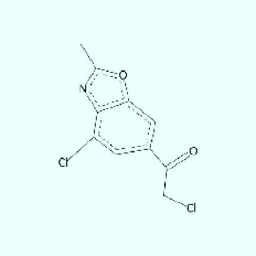 Cc1nc2c(Cl)cc(C(=O)CCl)cc2o1